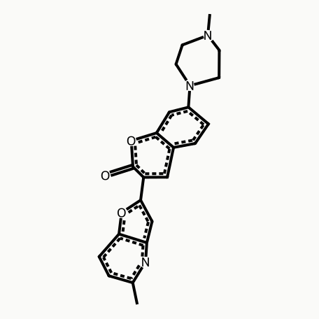 Cc1ccc2oc(-c3cc4ccc(N5CCN(C)CC5)cc4oc3=O)cc2n1